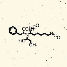 O=C=NCCCCCC(N=C=O)N(C(O)CO)[C@@H](Cc1ccccc1)C(=O)O